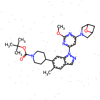 COc1nc(N2CC3CC(C2)O3)cc(-n2ncc3cc(C)c(C4CCN(C(=O)OC(C)(C)C)CC4)cc32)n1